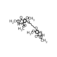 C=C1C[C@H]2CN(C(=O)CC)c3cc(OCCCCCOc4cc5c(cc4OC)C(=O)N4CC(=C)C[C@H]4C=N5)c(OC)cc3C(=O)N2C1